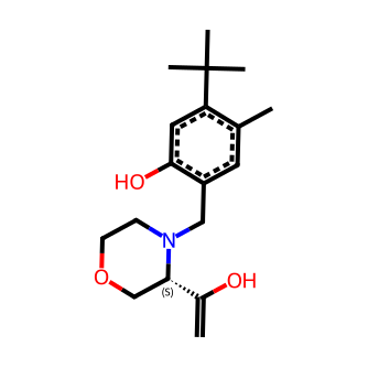 C=C(O)[C@@H]1COCCN1Cc1cc(C)c(C(C)(C)C)cc1O